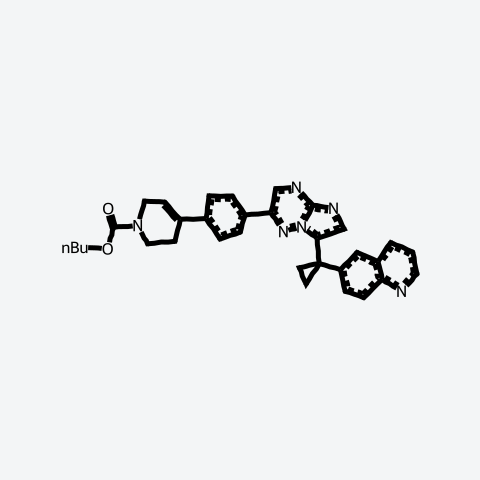 CCCCOC(=O)N1CC=C(c2ccc(-c3cnc4ncc(C5(c6ccc7ncccc7c6)CC5)n4n3)cc2)CC1